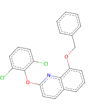 Clc1cccc(Cl)c1Oc1ccc2cccc(OCc3ccccc3)c2n1